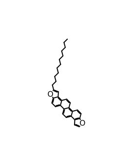 CCCCCCCCCCCCc1cc2c(ccc3c2ccc2c4ccc5occc5c4ccc32)o1